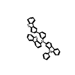 c1ccc(-n2c3ccccc3c3ccc(N(c4cccc(-c5ccc6sc7ccccc7c6c5)c4)c4cccc5c4sc4ccccc45)cc32)cc1